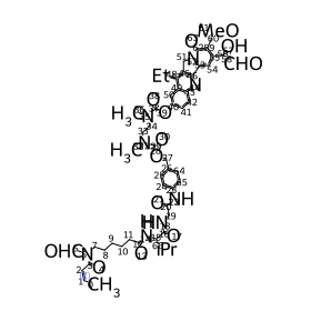 C/C=C\C(=O)N(C=O)CCCCCC(=O)NC(C(=O)NCC(=O)Nc1ccc(COC(=O)N(C)CCN(C)C(=O)Oc2ccc3nc4c(c(CC)c3c2)Cn2c-4cc(C(O)C=O)c(COC)c2=O)cc1)C(C)C